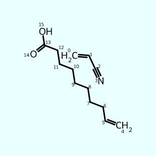 C=CC#N.C=CCCCCCCCC(=O)O